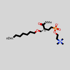 CCCCCCCCCCCCCCCCOC[C@@H](CCP(=O)([O-])OCC[N+](C)(C)C)C(=O)NC